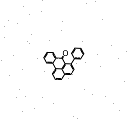 O=C1c2ccccc2-c2cccc3ccc(-c4ccccc4)c1c23